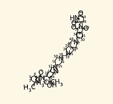 Cc1cccc(C(=O)Nc2cc3cn(C4CCN(CCN5CCC6(CC5)CCN(c5ccc7c(c5)C(=O)N(C5CCC(=O)NC5=O)C7=O)CC6)CC4)nc3cc2C(C)(C)O)n1